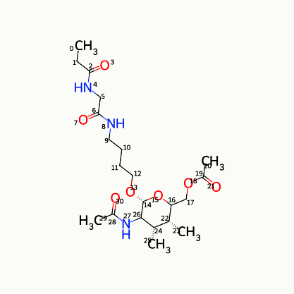 CCC(=O)NCC(=O)NCCCCO[C@@H]1OC(COC(C)=O)[C@H](C)[C@H](C)C1NC(C)=O